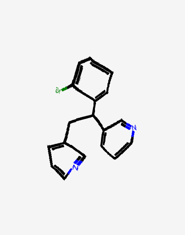 Brc1ccccc1C(Cc1cccnc1)c1cccnc1